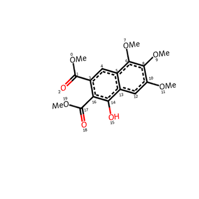 COC(=O)c1cc2c(OC)c(OC)c(OC)cc2c(O)c1C(=O)OC